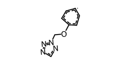 [c]1ccc(OCn2ncnn2)cc1